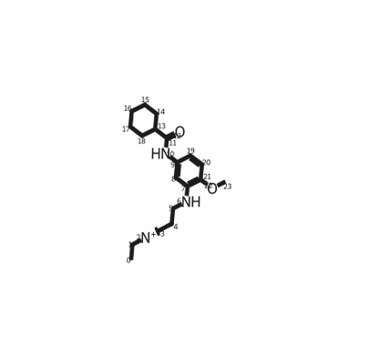 CC[N+]#CCCNc1cc(NC(=O)C2CCCCC2)ccc1OC